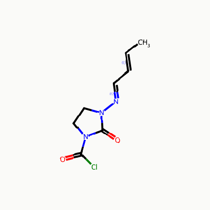 C/C=C/C=N/N1CCN(C(=O)Cl)C1=O